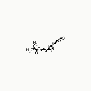 C=C(C)C(=O)OCCSc1nnc(SCCOC=O)s1